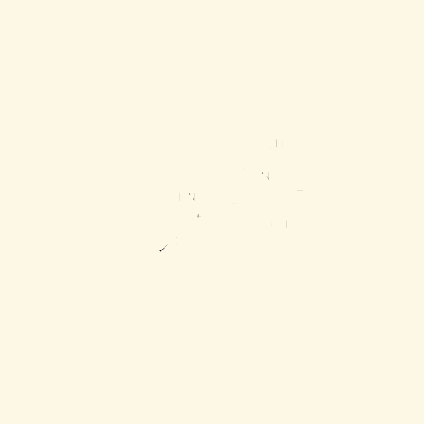 CC[C@]1(NC(C)(C)C)C[C@H](N[C@@H]2C[C@H]2c2ccccc2)C1